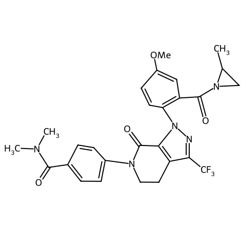 COc1ccc(-n2nc(C(F)(F)F)c3c2C(=O)N(c2ccc(C(=O)N(C)C)cc2)CC3)c(C(=O)N2CC2C)c1